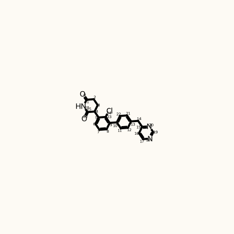 O=C1CCC(c2cccc(-c3ccc(Cc4ccncn4)cc3)c2Cl)C(=O)N1